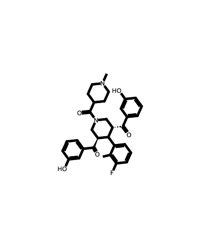 Cc1c(F)cccc1C1[C@@H](C(=O)c2cccc(O)c2)CN(C(=O)C2CCN(C)CC2)C[C@@H]1C(=O)c1cccc(O)c1